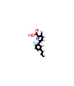 C/C=C/c1ccc(F)c(-c2ccc(C)c(C(=O)O)n2)c1